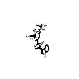 CNC(=S)NCCCCC(NC(=O)OC(C)(C)C)c1ncc(-c2c[nH]c3ccccc23)[nH]1